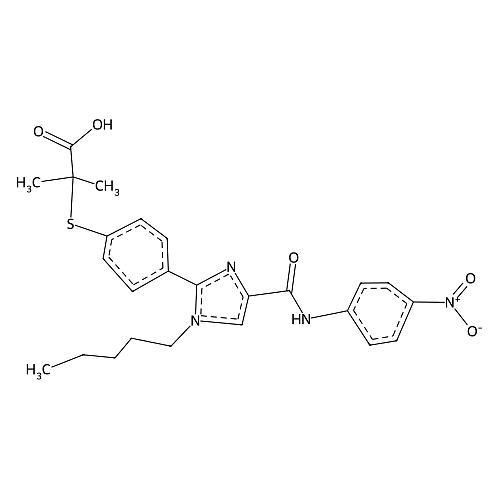 CCCCCn1cc(C(=O)Nc2ccc([N+](=O)[O-])cc2)nc1-c1ccc(SC(C)(C)C(=O)O)cc1